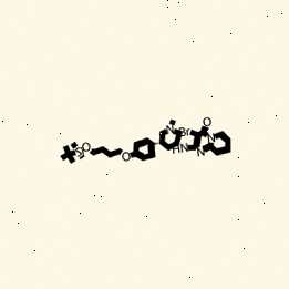 CN1C[C@H](Nc2nc3ccccn3c(=O)c2Br)C[C@H](c2ccc(OCCCCO[Si](C)(C)C(C)(C)C)cc2)C1